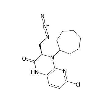 [N-]=[N+]=NC[C@@H]1C(=O)Nc2ccc(Cl)nc2N1C1CCCCCC1